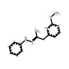 CSc1nccc(C/C(C)=N/Nc2ccccc2)n1